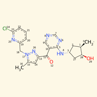 [CH2][C@@H]1C[C@@H](Nc2ncncc2C(=O)c2cc(C)n(Cc3cccc(Cl)n3)n2)C[C@@H]1O